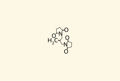 C=C(CN1C(=O)CCC1=O)CN1C(=O)CCC1=O